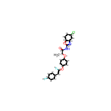 C[C@@H](Oc1ccc(O/C(F)=C/c2ccc(F)cc2)cc1)C(=O)Nc1nc2cc(Cl)ccc2o1